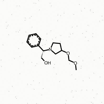 COCOC1CCN([C@H](CO)c2ccccc2)C1